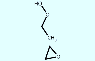 C1CO1.CCOO